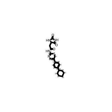 O=C(CC1NC(=O)NC1=O)NC1=NN=C(c2ccc(C3CCCCC3)cc2)CS1